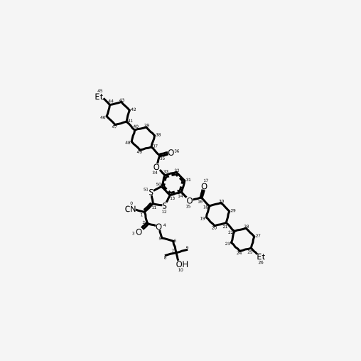 [C-]#[N+]C(C(=O)OCCC(C)(C)O)=C1Sc2c(OC(=O)C3CCC(C4CCC(CC)CC4)CC3)ccc(OC(=O)C3CCC(C4CCC(CC)CC4)CC3)c2S1